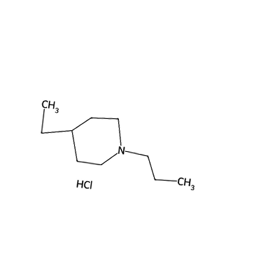 CCCN1CCC(CC)CC1.Cl